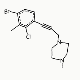 Cc1c(Br)ccc(C#CCN2CCN(C)CC2)c1Cl